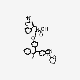 CC/C(=C(/c1ccc(OCCN(C/C(=C/C(=O)N(C)C)c2ccccc2)C(=O)O)cc1)c1ccc2c(cnn2C2CCCCO2)c1)c1ccccc1